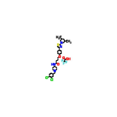 CC1CC(C)CN(c2nc(-c3ccc(OCCCC(=O)NC4CCN(Cc5ccc(Cl)c(Cl)c5)CC4)cc3)cs2)C1.O=C(O)C(F)(F)F